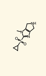 Cn1c(S(=O)(=O)C2CC2)nc2c1CNC2